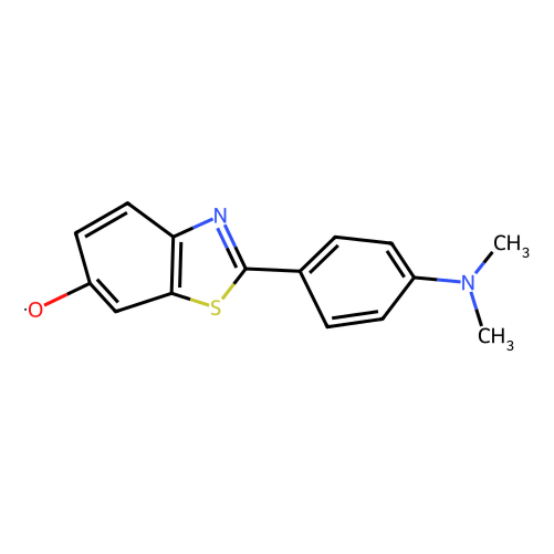 CN(C)c1ccc(-c2nc3ccc([O])cc3s2)cc1